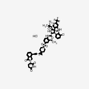 COc1cc(S(=O)(=O)N2CCC3(CC2)C[C@@H]3C#Cc2cccc3c2CN([C@H]2CCC(=O)NC2=O)C3=O)ccc1NC(=O)[C@@H]1N[C@@H](CC(C)(C)C)[C@@]2(CNc3cc(C(F)(F)F)ncc32)[C@H]1c1cccc(Cl)c1F.Cl